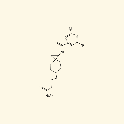 CNC(=O)CCCC1CCC2(CC1)CC2NC(=O)c1cc(F)cc(Cl)c1